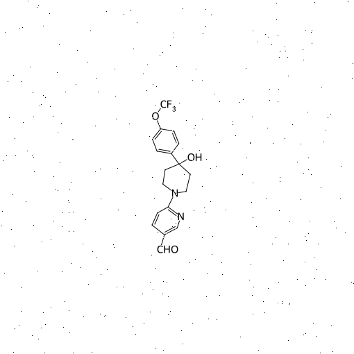 O=Cc1ccc(N2CCC(O)(c3ccc(OC(F)(F)F)cc3)CC2)nc1